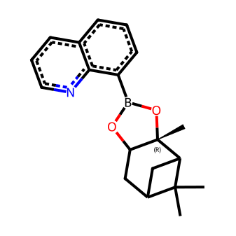 CC1(C)C2CC3OB(c4cccc5cccnc45)O[C@]3(C)C1C2